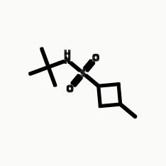 CC1CC(S(=O)(=O)NC(C)(C)C)C1